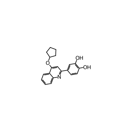 Oc1ccc(-c2cc(OC3CCCC3)c3ccccc3n2)cc1O